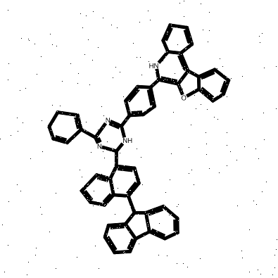 C1=CC2=c3c(oc4ccccc34)=C(c3ccc(C4=NC(C5=CCCC=C5)=NC(c5ccc(C6c7ccccc7-c7ccccc76)c6ccccc56)N4)cc3)NC2C=C1